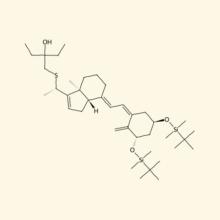 C=C1C(=CC=C2CCC[C@]3(C)C([C@H](C)SCC(O)(CC)CC)=CC[C@@H]23)C[C@@H](O[Si](C)(C)C(C)(C)C)C[C@@H]1O[Si](C)(C)C(C)(C)C